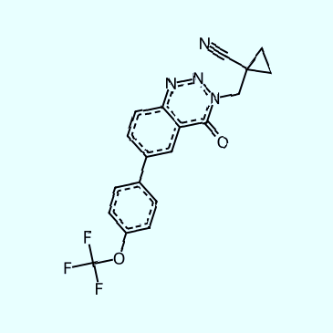 N#CC1(Cn2nnc3ccc(-c4ccc(OC(F)(F)F)cc4)cc3c2=O)CC1